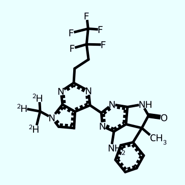 [2H]C([2H])([2H])n1ccc2c(-c3nc(N)c4c(n3)NC(=O)C4(C)c3ccccc3)nc(CCC(F)(F)C(F)(F)F)nc21